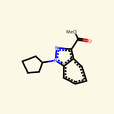 COC(=O)c1nn(C2CCCC2)c2ccccc12